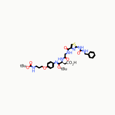 CC(C)(C)OC(=O)NCCCOc1ccc(N=C(OC(C)(C)C)[C@H](CC(=O)O)NC(=O)CNC(=O)c2csc(NC(=O)NCc3ccccc3)n2)cc1